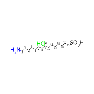 Cl.NCCCCCCCCCCCCCCCS(=O)(=O)O